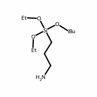 CCO[Si](CCCN)(OCC)OC(C)CC